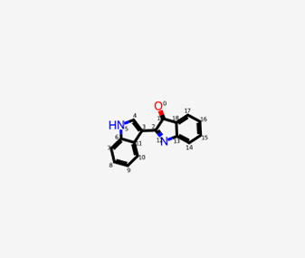 O=C1C(c2c[nH]c3ccccc23)=Nc2ccccc21